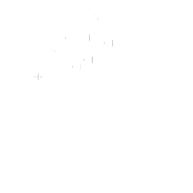 Cc1cccc(C)c1-c1ccccc1-c1ccccc1.O=P(O)(O)OP(=O)(O)O